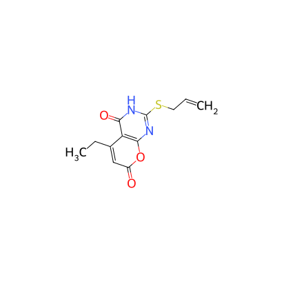 C=CCSc1nc2oc(=O)cc(CC)c2c(=O)[nH]1